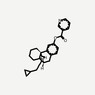 O=C(Oc1ccc2c(c1)[C@@]13CCCC[C@@]1(O)[C@@H](C2)N(CC1CC1)CC3)c1cccnc1